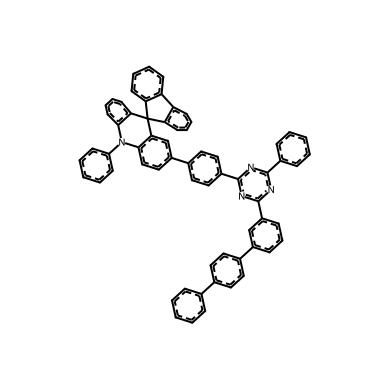 c1ccc(-c2ccc(-c3cccc(-c4nc(-c5ccccc5)nc(-c5ccc(-c6ccc7c(c6)C6(c8ccccc8-c8ccccc86)c6ccccc6N7c6ccccc6)cc5)n4)c3)cc2)cc1